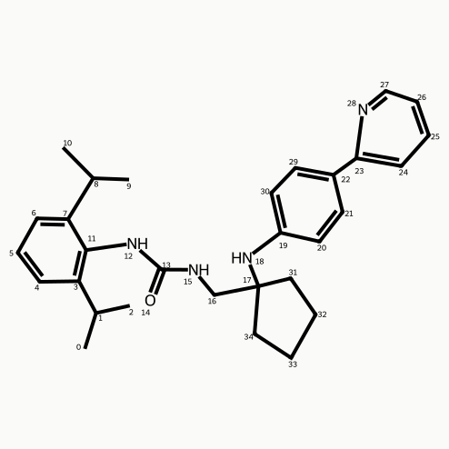 CC(C)c1cccc(C(C)C)c1NC(=O)NCC1(Nc2ccc(-c3ccccn3)cc2)CCCC1